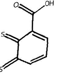 O=C(O)C1=CC=CC(=S)C1=S